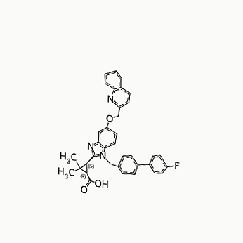 CC1(C)[C@H](C(=O)O)[C@@H]1c1nc2cc(OCc3ccc4ccccc4n3)ccc2n1Cc1ccc(-c2ccc(F)cc2)cc1